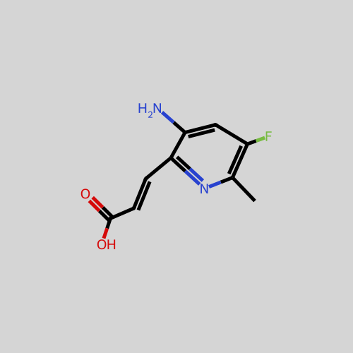 Cc1nc(C=CC(=O)O)c(N)cc1F